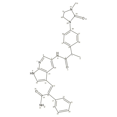 CC(C(=O)Nc1cnc2[nH]cc(C=C(C(N)=O)c3ccccc3)c2c1)c1ccc(N2CCN(C)C2=O)cc1